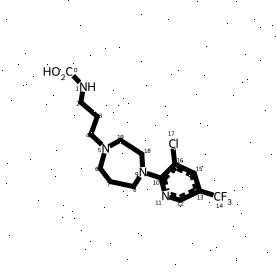 O=C(O)NCCCN1CCCN(c2ncc(C(F)(F)F)cc2Cl)CC1